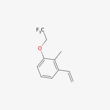 C=Cc1cccc(OCC(F)(F)F)c1C